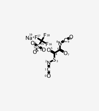 O=C=NSC(=O)C(=O)N=C=O.O=S(=O)([O-])C(F)(F)F.[Na+]